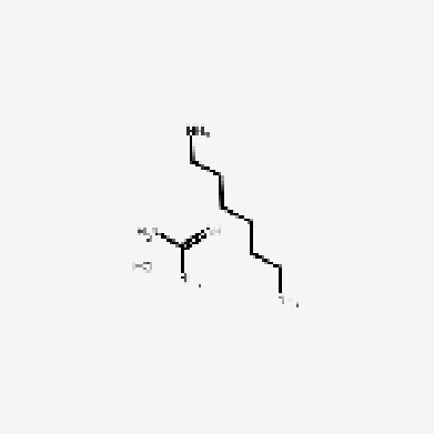 Cl.N=C(N)N.NCCCCCCN